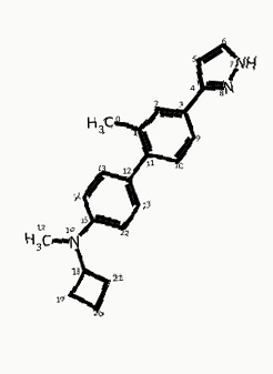 Cc1cc(-c2cc[nH]n2)ccc1-c1ccc(N(C)C2CCC2)cc1